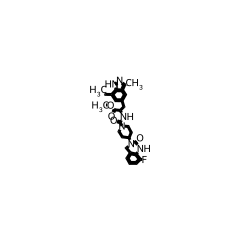 CCc1cc(CC(NC(=O)N2CCC(N3Cc4cccc(F)c4NC3=O)CC2)C(=O)OC)cc2c(C)n[nH]c12